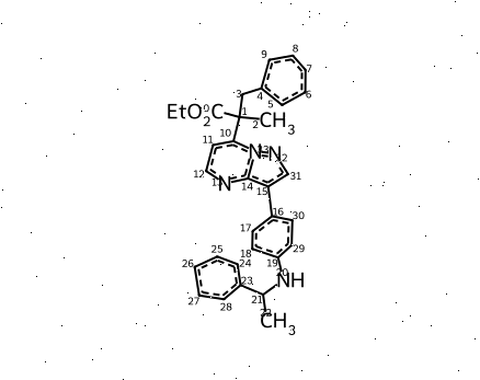 CCOC(=O)C(C)(Cc1ccccc1)c1ccnc2c(-c3ccc(NC(C)c4ccccc4)cc3)cnn12